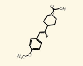 COc1ccc(/C=C(\F)C2CCN(C(=O)O)CC2)cc1